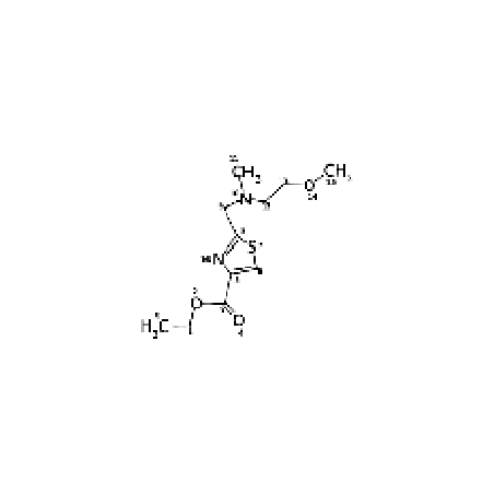 CCOC(=O)c1csc(CN(C)CCOC)n1